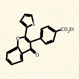 CCOC(=O)c1ccc(-c2c(-c3cccs3)oc3c[c]ccc3c2=O)cc1